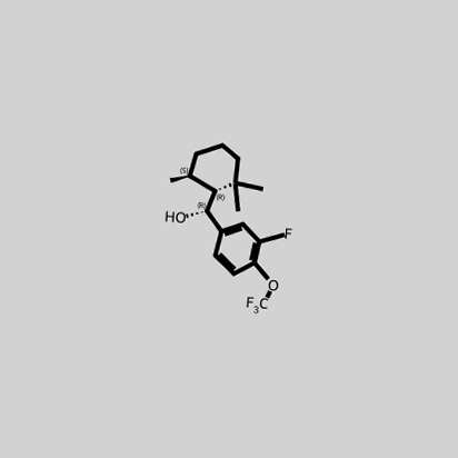 C[C@H]1CCCC(C)(C)[C@@H]1[C@@H](O)c1ccc(OC(F)(F)F)c(F)c1